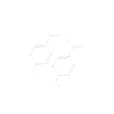 CCCCN(CCCC)c1ccc(C(=O)[O-])cc1.CCCCN(CCCC)c1ccc(C(=O)[O-])cc1.[Co+2]